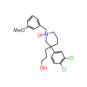 COc1cccc(C[N+]2([O-])CCCC(CCCO)(c3ccc(Cl)c(Cl)c3)C2)c1